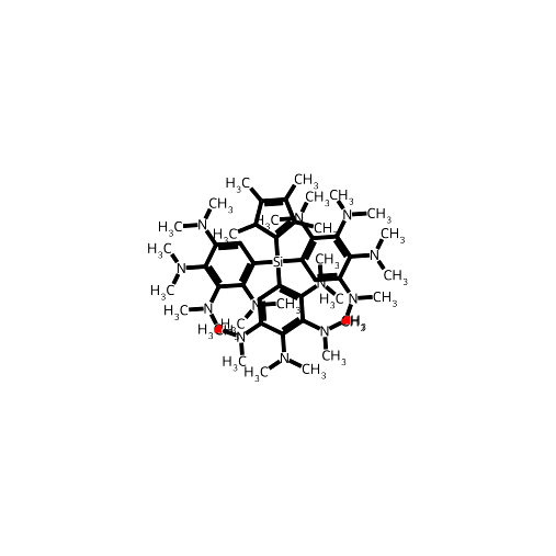 CC1=C(C)C(C)C([Si](c2cc(N(C)C)c(N(C)C)c(N(C)C)c2N(C)C)(c2cc(N(C)C)c(N(C)C)c(N(C)C)c2N(C)C)c2cc(N(C)C)c(N(C)C)c(N(C)C)c2N(C)C)=C1C